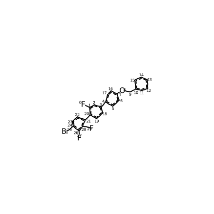 Fc1cc(-c2ccc(OCc3ccccc3)cc2)ccc1-c1ccc(Br)c(F)c1F